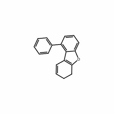 C1=Cc2c(oc3cccc(-c4ccccc4)c23)CC1